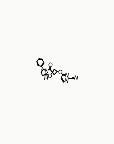 N#Cc1nccc(OC2CC3(C2)O[C@@H]2CC[C@@H](c4ccccc4)N2C3=O)n1